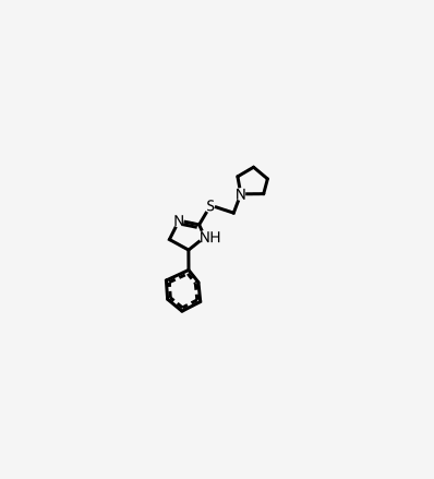 c1ccc(C2CN=C(SCN3CCCC3)N2)cc1